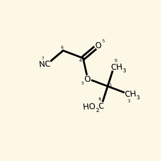 CC(C)(OC(=O)CC#N)C(=O)O